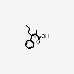 CCC/C(=C(\C)C(=O)O)c1ccccc1